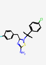 CC(C)(c1ccc(Cl)cc1)N1SC(N)=NC1Cc1ccc(F)cc1